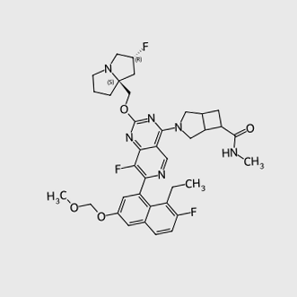 CCc1c(F)ccc2cc(OCOC)cc(-c3ncc4c(N5CC6CC(C(=O)NC)C6C5)nc(OC[C@@]56CCCN5C[C@H](F)C6)nc4c3F)c12